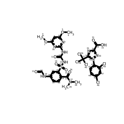 COc1cc(OC)nc(NC(=O)NS(=O)(=O)c2cc(NC=O)ccc2C(=O)N(C)C)n1.O=C(O)c1nc(C(Cl)(Cl)Cl)n(-c2ccc(Cl)cc2Cl)n1